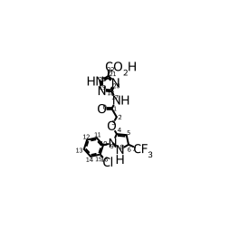 O=C(COC1=CC(C(F)(F)F)NN1c1ccccc1Cl)Nc1n[nH]c(C(=O)O)n1